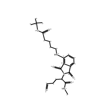 CNC(=O)C(CCC=O)N1C(=O)c2cccc(NCCCCC(=O)OC(C)(C)C)c2C1=O